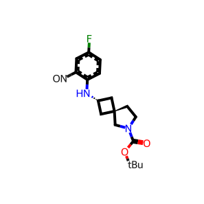 CC(C)(C)OC(=O)N1CC[C@]2(C1)C[C@@H](Nc1ccc(F)cc1N=O)C2